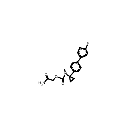 CN(C(=O)OCC(N)=O)C1(c2ccc(-c3ccc(F)cc3)cc2)CC1